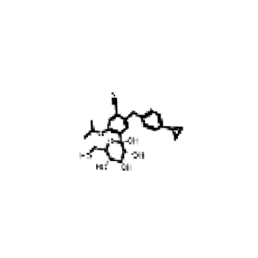 CC(C)Oc1cc(C#N)c(Cc2ccc(C3CC3)cc2)cc1[C@]1(O)O[C@H](CO)[C@@H](O)[C@H](O)[C@H]1O